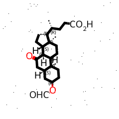 C[C@H](CCC(=O)O)[C@H]1CC[C@H]2[C@@H]3C(=O)C[C@@H]4C[C@H](OC=O)CC[C@]4(C)[C@H]3CC[C@]12C